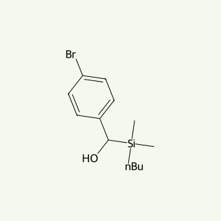 CCCC[Si](C)(C)C(O)c1ccc(Br)cc1